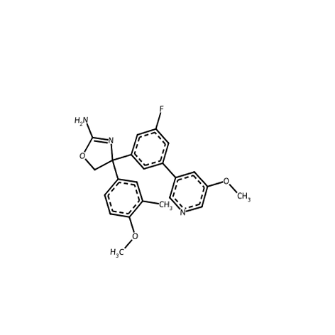 COc1cncc(-c2cc(F)cc(C3(c4ccc(OC)c(C)c4)COC(N)=N3)c2)c1